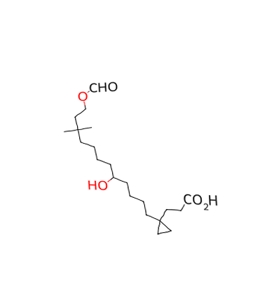 CC(C)(CCCCC(O)CCCCC1(CCC(=O)O)CC1)CCOC=O